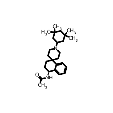 CC(=O)N[C@H]1CCC2(CCN(C3CC(C)(C)CC(C)(C)C3)CC2)c2ccccc21